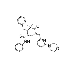 CC1(C)C(=O)C(=Cc2cccc(N3CCOCC3)n2)CN(C(=S)Nc2ccccc2)C1Cc1ccccc1